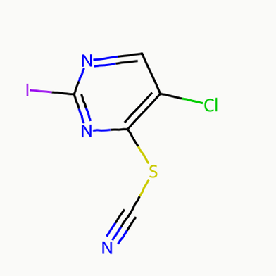 N#CSc1nc(I)ncc1Cl